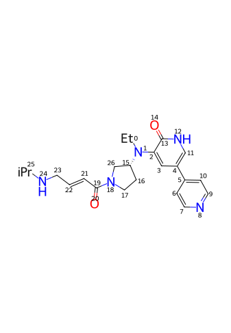 CCN(c1cc(-c2ccncc2)c[nH]c1=O)[C@@H]1CCN(C(=O)C=CCNC(C)C)C1